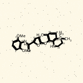 COc1cccc(OC)c1NC(=O)c1ccc(Oc2c(C)ccc3c2NCC[Si]3(C)C)o1